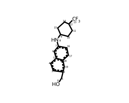 OCc1ccc2cc(NC3CCC(C(F)(F)F)CC3)ccc2c1